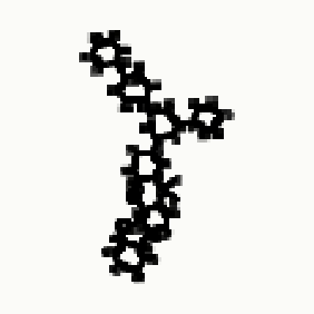 CC1(C)c2cc(-c3cc(-c4ccccc4)cc(-c4ccc(-c5ccccc5)cc4)c3)ccc2Oc2c1ccc1c2oc2ccccc21